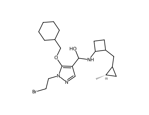 C[C@H]1CC1CC1CCC1NC(O)c1cnn(CCBr)c1OCC1CCCCC1